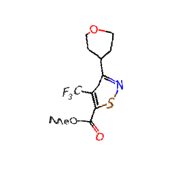 COC(=O)c1snc(C2CCOCC2)c1C(F)(F)F